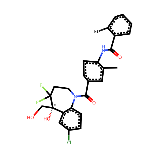 CCc1ccccc1C(=O)Nc1ccc(C(=O)N2CCC(F)(F)[C@](O)(CO)c3cc(Cl)ccc32)cc1C